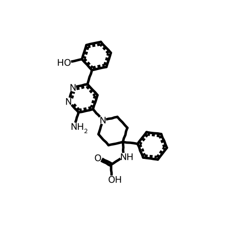 Nc1nnc(-c2ccccc2O)cc1N1CCC(NC(=O)O)(c2ccccc2)CC1